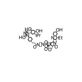 CCc1c2c(nc3ccc(O)cc13)-c1cc3c(c(=O)n1C2)COC(=O)[C@]3(CC)OC(=O)N1CCN(C(=O)CCc2ccc(-n3c(O)nnc3-c3cc(C(C)C)c(O)cc3O)cc2)CC1